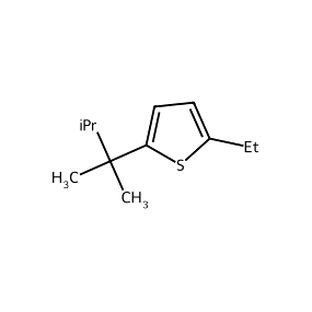 CCc1ccc(C(C)(C)C(C)C)s1